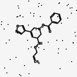 C=CCONC1C=C(c2cnoc2)CN(OC(=O)c2ccccc2)C1